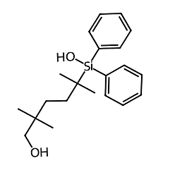 CC(C)(CO)CCC(C)(C)[Si](O)(c1ccccc1)c1ccccc1